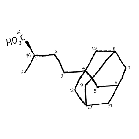 C[C@H](CCC12CC3CC(CC(C3)C1)C2)C(=O)O